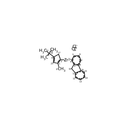 CC1=[C]([Zr+2][c]2cccc3c2Cc2ccccc2-3)CC(C(C)(C)C)=C1.[Cl-].[Cl-]